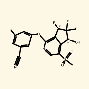 CS(=O)(=O)c1cnc(Oc2cc(F)cc(C#N)c2)c2c1[C@H](O)C(F)(F)[C@@H]2F